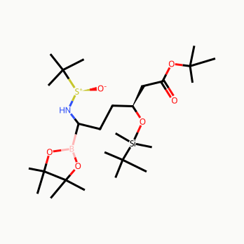 CC(C)(C)OC(=O)C[C@H](CCC(N[S@+]([O-])C(C)(C)C)B1OC(C)(C)C(C)(C)O1)O[Si](C)(C)C(C)(C)C